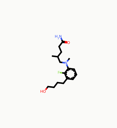 CC(CCC(N)=O)CN(C)c1cccc(CCCCO)c1F